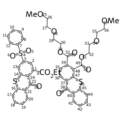 CCOC(=O)c1cc(S(=O)(=O)c2ccccc2)cc2sc3ccccc3c(=O)c12.COCCOCCOC(=O)c1ccc2c(=O)c3ccccc3sc2c1C(=O)OCCOCCOC